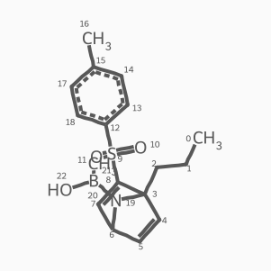 CCCC12C=CC(C=C1S(=O)(=O)c1ccc(C)cc1)N2B(C)O